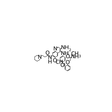 CNC(=O)COc1ccccc1Oc1ccc(Nc2c(N)cnc3cc(NC(=O)CCN4CCCCC4)c(OC)cc23)cc1